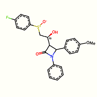 COc1ccc(C2C([C@H](O)C[S+]([O-])c3ccc(F)cc3)C(=O)N2c2ccccc2)cc1